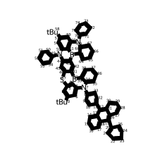 CC(C)(C)c1cc2c3c(c1)N(c1ccc(-c4c5ccccc5c(-c5ccccc5)c5ccccc45)cc1)c1ccccc1B3c1cc3c(cc1S2)N(c1ccccc1)c1cc(C(C)(C)C)cc2c1B3c1ccccc1N2c1ccccc1